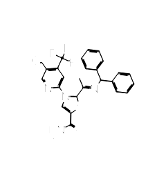 C/C(=N\C(c1ccccc1)c1ccccc1)C1SC(C(N)=O)=CN1c1cc(C(F)(F)F)c(Cl)cn1